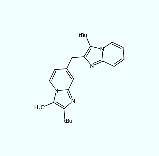 Cc1c(C(C)(C)C)nc2cc(Cc3nc4ccccn4c3C(C)(C)C)ccn12